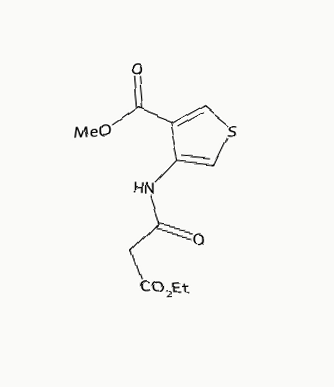 CCOC(=O)CC(=O)Nc1cscc1C(=O)OC